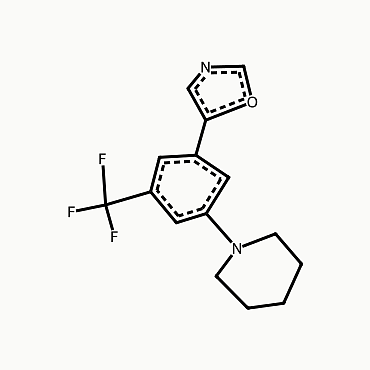 FC(F)(F)c1cc(-c2cnco2)cc(N2CCCCC2)c1